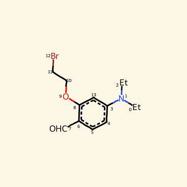 CCN(CC)c1ccc(C=O)c(OCCBr)c1